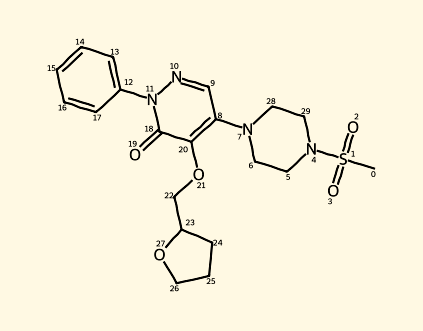 CS(=O)(=O)N1CCN(c2cnn(-c3ccccc3)c(=O)c2OCC2CCCO2)CC1